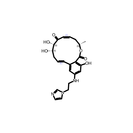 C[C@H]1C/C=C\C(=O)[C@@H](O)[C@@H](O)C/C=C/c2cc(NCCn3ccnc3)cc(O)c2C(=O)O1